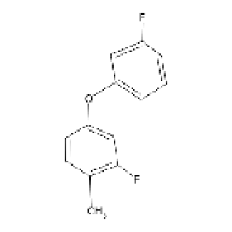 Cc1ccc(Oc2cccc(F)c2)cc1F